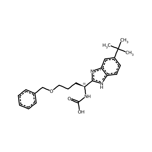 CC(C)(C)c1ccc2[nH]c([C@H](CCCOCc3ccccc3)NC(=O)O)nc2c1